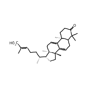 CC(=CCC[C@@H](C)[C@H]1CC[C@@]2(C)C3=CCC4C(C)(C)C(=O)CC[C@]4(C)C3=CC[C@]12C)C(=O)O